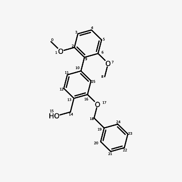 COc1cccc(OC)c1-c1ccc(CO)c(OCc2ccccc2)c1